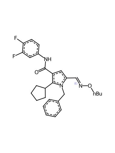 CCCCO/N=C/c1cc(C(=O)Nc2ccc(F)c(F)c2)c(C2CCCC2)n1Cc1ccccc1